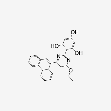 CCOC1CC(C2=Cc3ccccc3C3C=CC=CC23)=NC(C2C(O)=CC(O)=CC2O)=N1